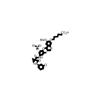 CCN(CC)CC.COc1cc2c(Oc3ccc(NC(=O)C4(C(=O)Nc5cccc(Cl)c5)CC4)cc3F)ccnc2cc1OCCCCCC(=O)O